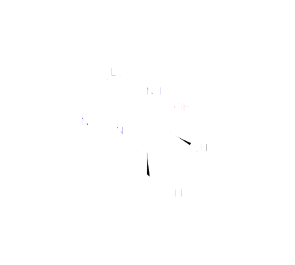 CCOC(=O)c1ncn([C@H](CO)[C@H](C)O)c1N